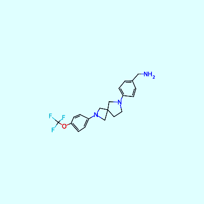 NCc1ccc(N2CCC3(C2)CN(c2ccc(OC(F)(F)F)cc2)C3)cc1